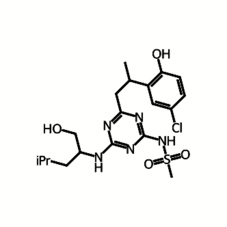 CC(C)CC(CO)Nc1nc(CC(C)c2cc(Cl)ccc2O)nc(NS(C)(=O)=O)n1